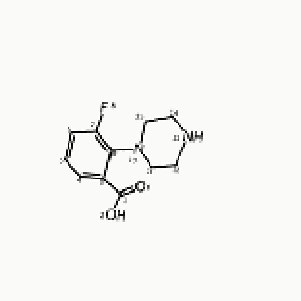 O=C(O)c1cccc(F)c1N1CCNCC1